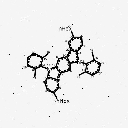 CCCCCCc1ccc2c(c1)c1cc3c(cc1n2-c1c(C)cccc1C)c1cc(CCCCCC)ccc1n3-c1c(C)cccc1C